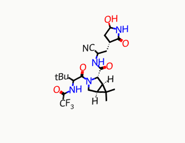 CC(C)(C)C(NC(=O)C(F)(F)F)C(=O)N1C[C@H]2[C@@H]([C@H]1C(=O)NC(C#N)C[C@@H]1CC(O)NC1=O)C2(C)C